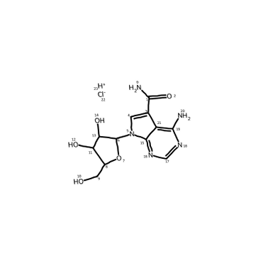 NC(=O)c1cn(C2OC(CO)C(O)C2O)c2ncnc(N)c12.[Cl-].[H+]